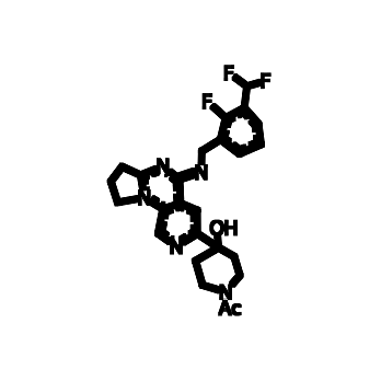 CC(=O)N1CCC(O)(c2cc3/c(=N/Cc4cccc(C(F)F)c4F)nc4n(c3cn2)CCC4)CC1